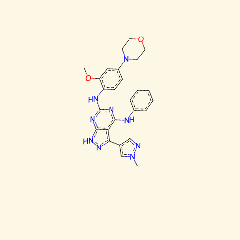 COc1cc(N2CCOCC2)ccc1Nc1nc(Nc2ccccc2)c2c(-c3cnn(C)c3)n[nH]c2n1